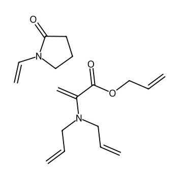 C=CCOC(=O)C(=C)N(CC=C)CC=C.C=CN1CCCC1=O